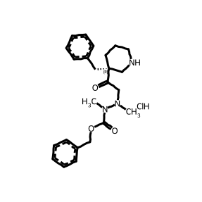 CN(CC(=O)[C@@]1(Cc2ccccc2)CCCNC1)N(C)C(=O)OCc1ccccc1.Cl